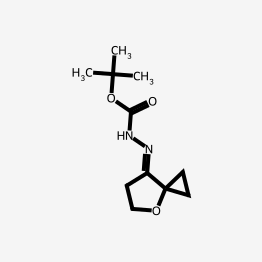 CC(C)(C)OC(=O)N/N=C1\CCOC12CC2